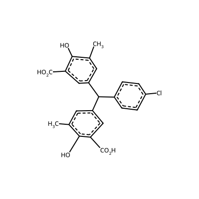 Cc1cc(C(c2ccc(Cl)cc2)c2cc(C)c(O)c(C(=O)O)c2)cc(C(=O)O)c1O